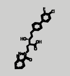 O=C(O)[C@@H](CCn1nnc2ccccc2c1=O)[C@H](O)CCc1ccc(-c2ccc(Cl)c(F)c2)cc1